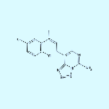 C/C(=C/Cc1c(C)nc(N)n2nnnc12)c1cc(Cl)ccc1Cl